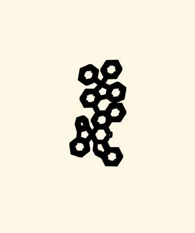 C1=c2ccccc2=C2Oc3c(cc(-c4cccc5c4-c4ccccc4C5(c4ccccc4)c4ccccc4)c4ccccc34)C3(c4ccccc4-c4ccccc43)C2C1